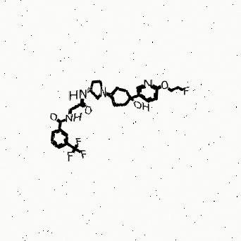 O=C(CNC(=O)c1cccc(C(F)(F)F)c1)N[C@@H]1CCN(C2CCC(O)(c3ccc(OCCF)nc3)CC2)C1